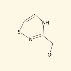 [O]CC1=NSC=CN1